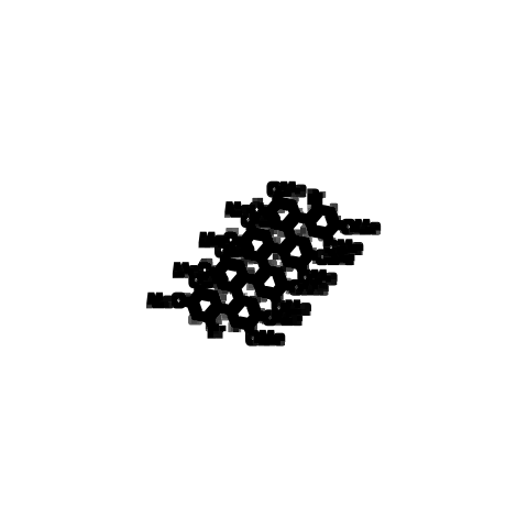 COc1cc(Br)c(-c2cc(OC)c(OC)cc2-c2cc(OC)c(OC)cc2-c2cc(OC)c(OC)cc2-c2cc(OC)c(OC)cc2-c2cc(OC)c(OC)cc2-c2cc(OC)c(OC)cc2-c2cc(OC)c(OC)cc2Br)cc1OC